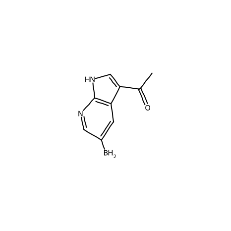 Bc1cnc2[nH]cc(C(C)=O)c2c1